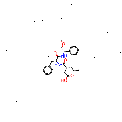 C=CC[C@H](CC(=O)O)C(=O)N[C@@H](Cc1ccccc1)C(=O)N[C@H](COC)c1ccccc1